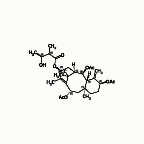 C=C1[C@@H](OC(C)=O)CC[C@@]2(C)C[C@H](OC(C)=O)C3=C(C)[C@@H](OC(=O)[C@H](C)[C@H](C)O)C[C@@H]([C@@H](OC(C)=O)[C@H]12)C3(C)C